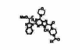 CCC(=O)N1CCN(C(=O)c2nc3c(N4CCOCC4)nc(-n4c(C(C)OC)nc5ccccc54)nc3n2C)CC1